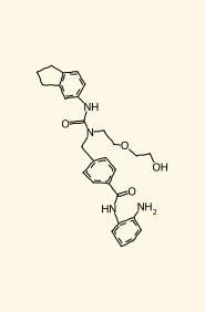 Nc1ccccc1NC(=O)c1ccc(CN(CCOCCO)C(=O)Nc2ccc3c(c2)CCC3)cc1